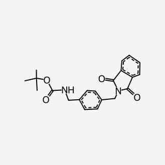 CC(C)(C)OC(=O)NCc1ccc(CN2C(=O)c3ccccc3C2=O)cc1